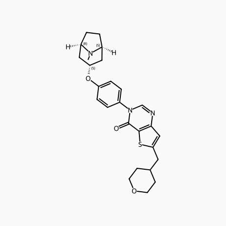 CN1[C@@H]2CC[C@H]1C[C@H](Oc1ccc(-n3cnc4cc(CC5CCOCC5)sc4c3=O)cc1)C2